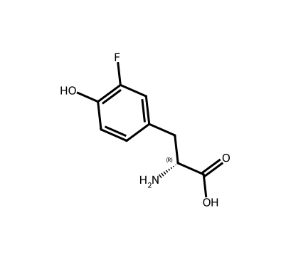 N[C@H](Cc1ccc(O)c(F)c1)C(=O)O